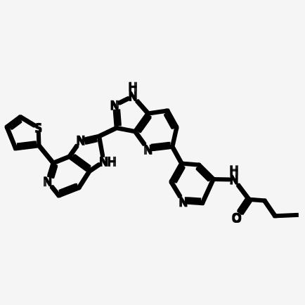 CCCC(=O)Nc1cncc(-c2ccc3[nH]nc(-c4nc5c(-c6cccs6)nccc5[nH]4)c3n2)c1